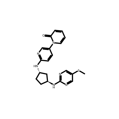 CSc1cnc(N[C@H]2CC[C@H](Nc3ccc(-n4ccccc4=O)cn3)C2)nc1